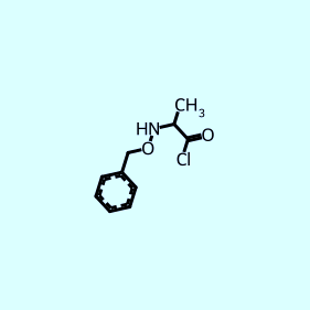 CC(NOCc1ccccc1)C(=O)Cl